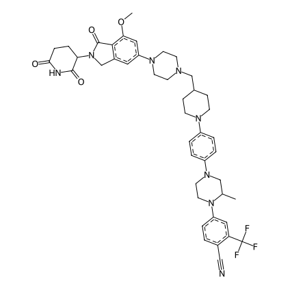 COc1cc(N2CCN(CC3CCN(c4ccc(N5CCN(c6ccc(C#N)c(C(F)(F)F)c6)C(C)C5)cc4)CC3)CC2)cc2c1C(=O)N(C1CCC(=O)NC1=O)C2